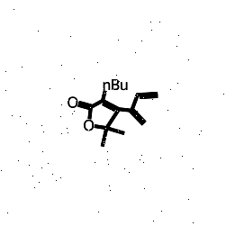 C=CC(=C)C1=C(CCCC)C(=O)OC1(C)C